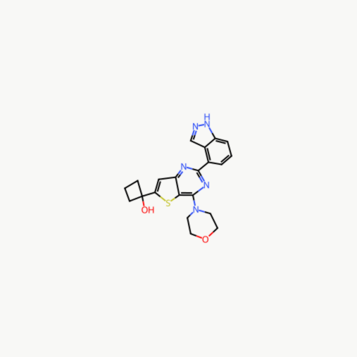 OC1(c2cc3nc(-c4cccc5[nH]ncc45)nc(N4CCOCC4)c3s2)CCC1